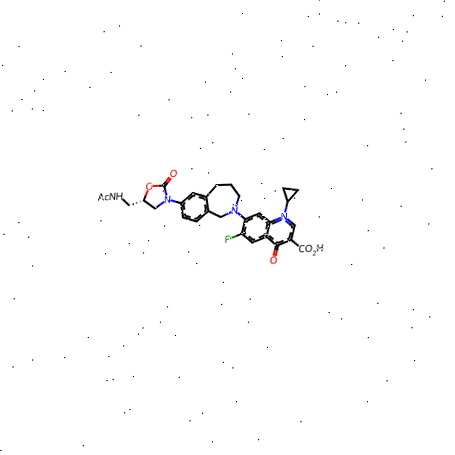 CC(=O)NC[C@H]1CN(c2ccc3c(c2)CCCN(c2cc4c(cc2F)c(=O)c(C(=O)O)cn4C2CC2)C3)C(=O)O1